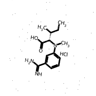 CCC(C)[C@@H](C(=O)O)N(C)c1cccc(C(=N)N)c1.Cl